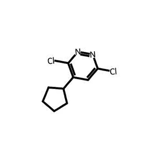 Clc1cc(C2CCCC2)c(Cl)nn1